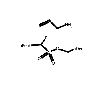 C=CCN.CCCCCCCCCCCOS(=O)(=O)C(F)CCCCC